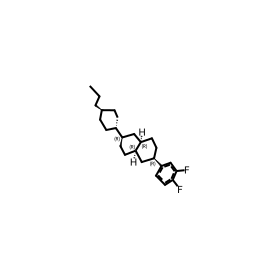 CCC[C@H]1CC[C@H]([C@@H]2CC[C@@H]3C[C@H](c4ccc(F)c(F)c4)CC[C@@H]3C2)CC1